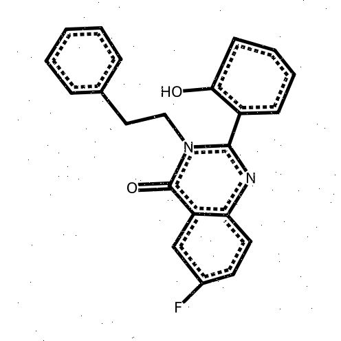 O=c1c2cc(F)ccc2nc(-c2ccccc2O)n1CCc1ccccc1